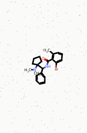 Cc1cccc(Br)c1C(=O)NC(c1ccccc1)C1(N(C)C)CCCC1